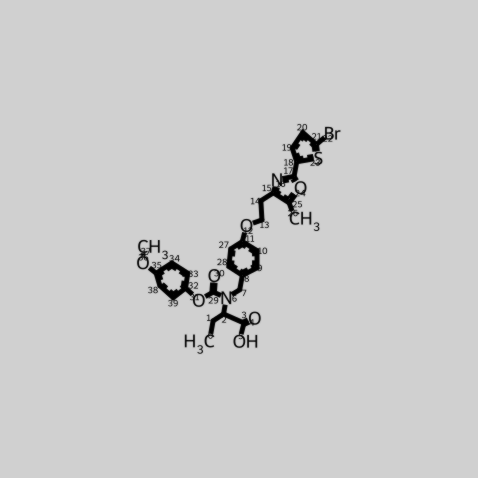 CCC(C(=O)O)N(Cc1ccc(OCCc2nc(-c3ccc(Br)s3)oc2C)cc1)C(=O)Oc1ccc(OC)cc1